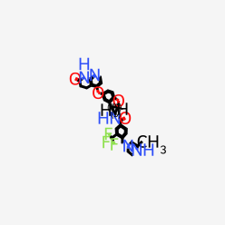 CC1CN(Cc2ccc(C(=O)N[C@@H]3[C@H]4Oc5ccc(Oc6ccnc7c6CCC(=O)N7)cc5[C@@H]34)cc2C(F)(F)F)CCN1